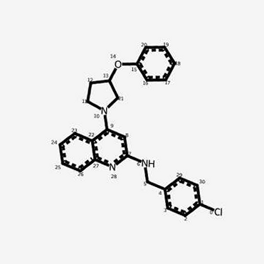 Clc1ccc(CNc2cc(N3CCC(Oc4ccccc4)C3)c3ccccc3n2)cc1